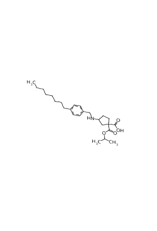 CCCCCCCCc1ccc(CNC2CCC(C(=O)O)(C(=O)OC(C)C)C2)cc1